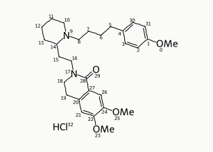 COc1ccc(CCCCN2CCCCC2CCN2CCc3cc(OC)c(OC)cc3C2=O)cc1.Cl